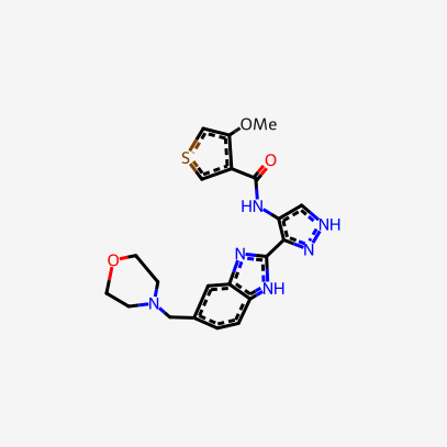 COc1cscc1C(=O)Nc1c[nH]nc1-c1nc2cc(CN3CCOCC3)ccc2[nH]1